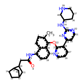 Cc1ccc2c(NC(=O)CC3CC4CCC3C4)cccc2c1Oc1ncccc1-c1ccnc(NC2CCCNC2)n1